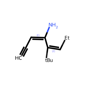 C#C/C=C(N)\C(=C/CC)C(C)(C)C